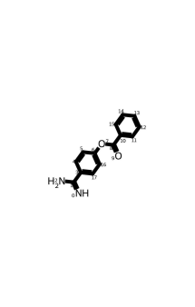 N=C(N)c1ccc(OC(=O)c2ccccc2)cc1